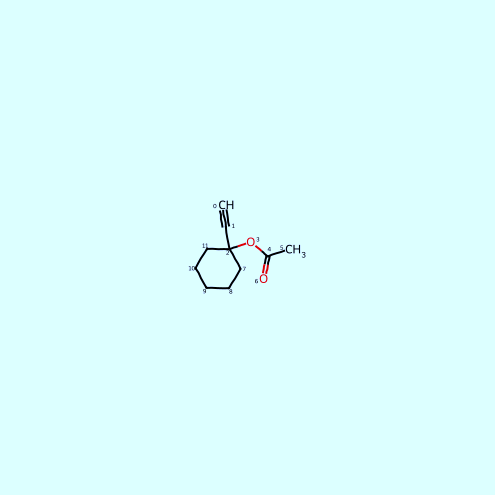 C#CC1(OC(C)=O)CCCCC1